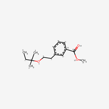 CCC(C)(C)OCCc1cccc(C(=O)OC)c1